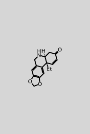 CC[C@]12C=CC(=O)C[C@@H]1NCc1cc3c(cc12)OCO3